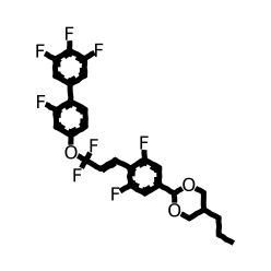 CCCC1COC(c2cc(F)c(/C=C/C(F)(F)Oc3ccc(-c4cc(F)c(F)c(F)c4)c(F)c3)c(F)c2)OC1